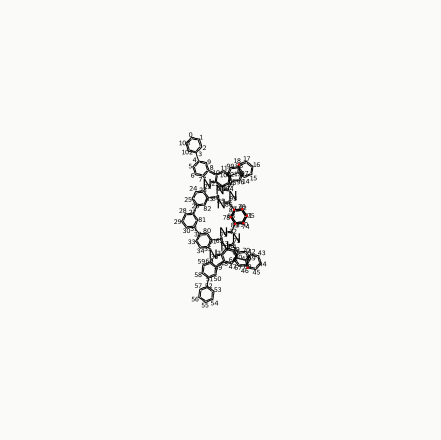 c1ccc(-c2ccc3c(c2)c2cc(-c4ccccc4)ccc2n3-c2ccc(-c3cccc(-c4ccc(-n5c6ccc(-c7ccccc7)cc6c6cc(-c7ccccc7)ccc65)c(-c5nc(-c6ccccc6)nc(-c6ccccc6)n5)c4)c3)cc2-c2nc(-c3ccccc3)nc(-c3ccccc3)n2)cc1